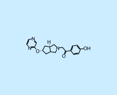 O=C(CN1CC2C[C@H](Oc3cnccn3)C[C@H]2C1)c1ccc(O)cc1